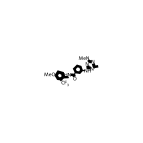 CNc1nc(C)nc(N[C@@H]2CCC[C@H](C(=O)NCc3ccc(OC)cc3C(F)(F)F)C2)n1